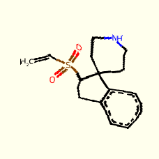 C=CS(=O)(=O)C1Cc2ccccc2C12CCNCC2